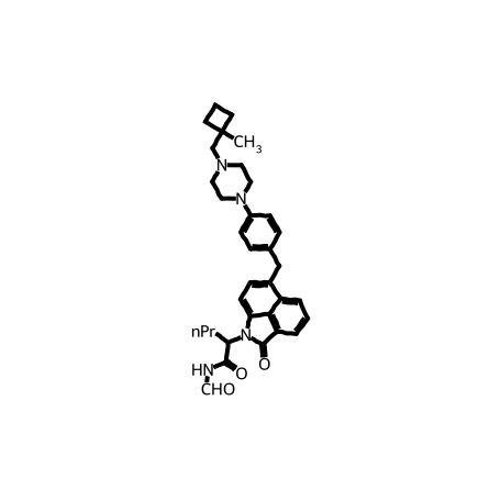 CCCC(C(=O)NC=O)N1C(=O)c2cccc3c(Cc4ccc(N5CCN(CC6(C)CCC6)CC5)cc4)ccc1c23